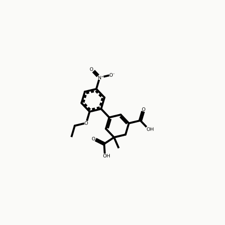 CCOc1ccc([N+](=O)[O-])cc1C1=CC(C)(C(=O)O)CC(C(=O)O)=C1